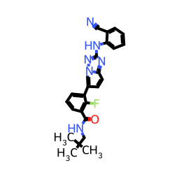 CC(C)(C)CNC(=O)c1cccc(-c2ccc3nc(Nc4ccccc4C#N)nn3c2)c1F